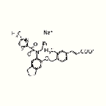 Cc1csc(S(=O)(=O)N(CC(C)C)c2cc3c(cc2OCc2ccc(C=CC(=O)[O-])cc2C)CCC3)n1.[Na+]